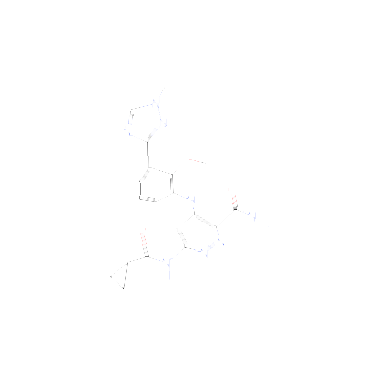 COc1c(Nc2cc(NC(=O)C3CC3)nnc2C(N)=O)cccc1-c1ncn(C)n1